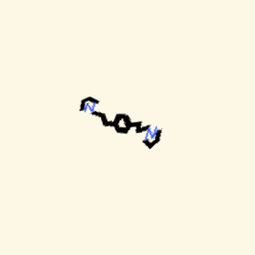 c1cc(CCCN2CCCC2)ccc1CCCN1CCCC1